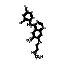 O=C(O)NCCOc1cc2ncnc(Nc3ccc(Br)cc3F)c2cc1[N+](=O)[O-]